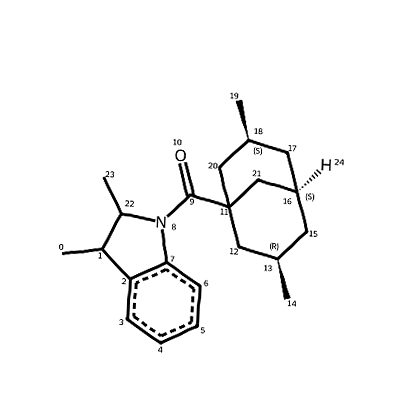 CC1c2ccccc2N(C(=O)C23C[C@H](C)C[C@H](C[C@H](C)C2)C3)C1C